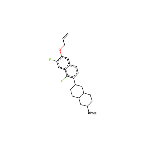 C=CCOc1cc2ccc(C3CCC4CC(CCCCC)CCC4C3)c(F)c2cc1F